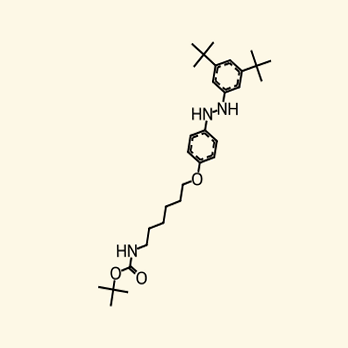 CC(C)(C)OC(=O)NCCCCCCOc1ccc(NNc2cc(C(C)(C)C)cc(C(C)(C)C)c2)cc1